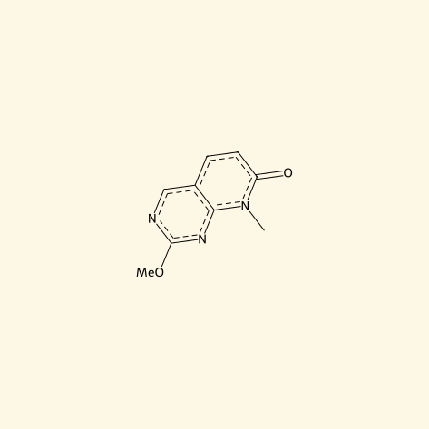 COc1ncc2ccc(=O)n(C)c2n1